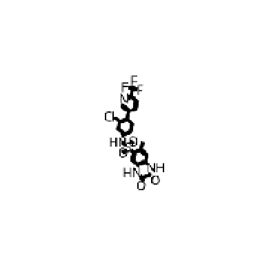 Cc1cc2[nH]c(=O)c(=O)[nH]c2cc1S(=O)(=O)Nc1ccc(-c2ccc(C(F)(F)F)nc2)c(Cl)c1